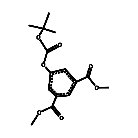 COC(=O)c1cc(OC(=O)OC(C)(C)C)cc(C(=O)OC)c1